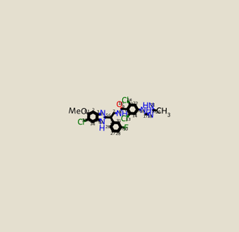 COc1cc2nc(C(CNC(=O)c3c(Cl)cc(N/C=N\C(C)=N)cc3Cl)c3cccc(F)c3)[nH]c2cc1Cl